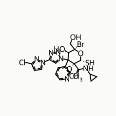 CO[C@@]1(C(=O)NC2CC2)[C@@H](S)O[C@](Br)(CO)[C@H](O)C1(c1cccnc1)n1cc(-n2ccc(Cl)n2)nn1